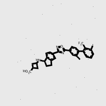 Cc1cc(-c2nc(-c3ccc4c(c3)CCC4NC3CC(C(=O)O)C3)no2)ccc1-c1cccc(I)c1C(F)(F)F